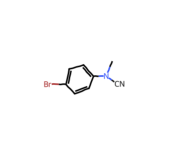 CN(C#N)c1ccc(Br)cc1